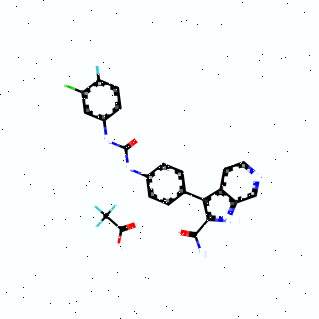 NC(=O)c1[nH]c2cnccc2c1-c1ccc(NC(=O)Nc2ccc(F)c(Cl)c2)cc1.O=C(O)C(F)(F)F